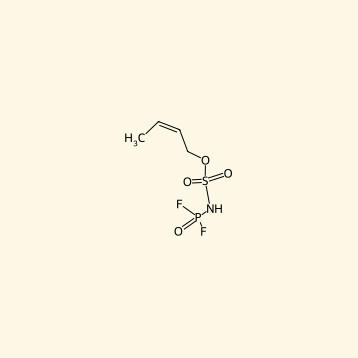 C/C=C\COS(=O)(=O)NP(=O)(F)F